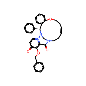 O=C1c2c(OCc3ccccc3)c(=O)ccn2N2CN1CC/C=C\CCOc1ccccc1[C@@H]2c1ccccc1